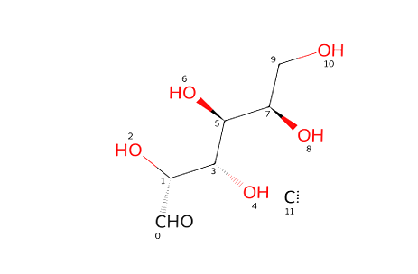 O=C[C@H](O)[C@@H](O)[C@@H](O)[C@H](O)CO.[C]